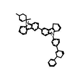 CC1C=CC(C)(n2c3ccccc3c3cc(-c4ccc5c(c4)c4c(n5-c5ccc(C6=CC(C7=CC=C=C=C7)CC#C6)cc5)C=C=CC4)ccc32)CC1